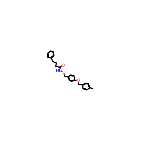 Cc1ccc(COc2ccc(CONC(=O)CCCc3ccccc3)cc2)cc1